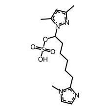 Cc1cc(C)n(C(CCCCCc2nccn2C)OS(=O)(=O)O)n1